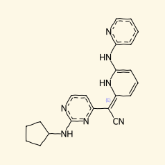 N#C/C(=C1\C=CC=C(Nc2ccccn2)N1)c1ccnc(NC2CCCC2)n1